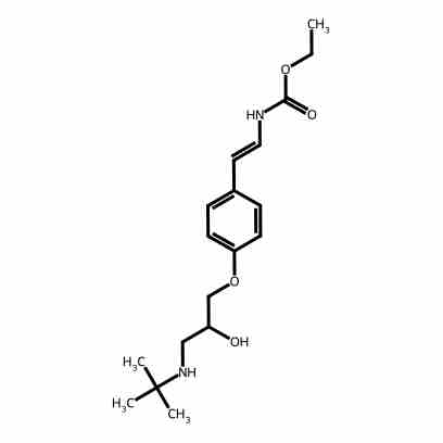 CCOC(=O)NC=Cc1ccc(OCC(O)CNC(C)(C)C)cc1